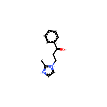 Cc1nccn1CCC(=O)c1ccccc1